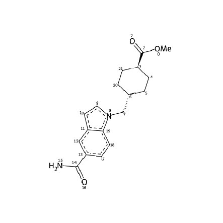 COC(=O)[C@H]1CC[C@H](Cn2ccc3cc(C(N)=O)ccc32)CC1